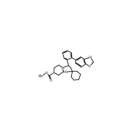 CC(C)(C)OC(=O)N1CCN(C(CC2(O)CCCCC2)c2ccccc2-c2ccc3c(c2)OCO3)CC1